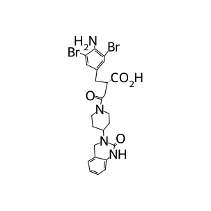 Nc1c(Br)cc(C[C@@H](CC(=O)N2CCC(N3Cc4ccccc4NC3=O)CC2)C(=O)O)cc1Br